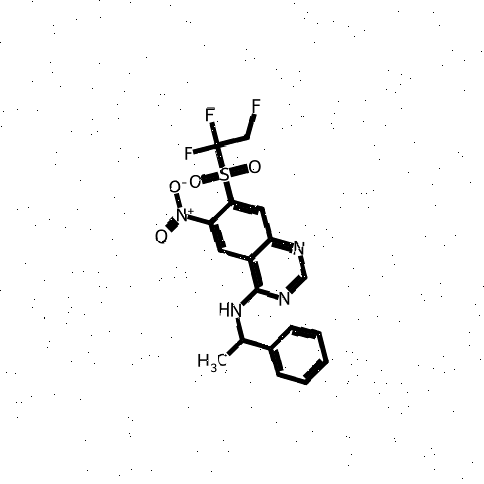 CC(Nc1ncnc2cc(S(=O)(=O)C(F)(F)CF)c([N+](=O)[O-])cc12)c1ccccc1